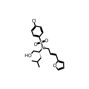 CC(C)C[C@H](CO)N(C/C=C/c1ccco1)S(=O)(=O)c1ccc(Cl)cc1